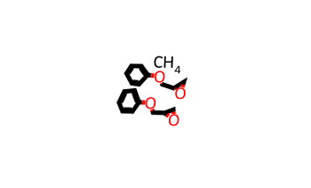 C.c1ccc(OCC2CO2)cc1.c1ccc(OCC2CO2)cc1